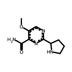 COc1cnc(C2CCCN2)nc1C(N)=O